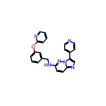 c1ccc(Oc2cccc(CNc3ccc4ncc(-c5ccncc5)n4n3)c2)nc1